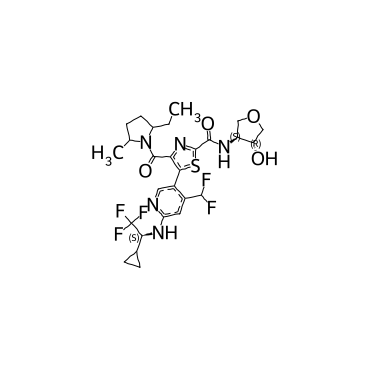 CCC1CCC(C)N1C(=O)c1nc(C(=O)N[C@H]2COC[C@@H]2O)sc1-c1cnc(N[C@@H](C2CC2)C(F)(F)F)cc1C(F)F